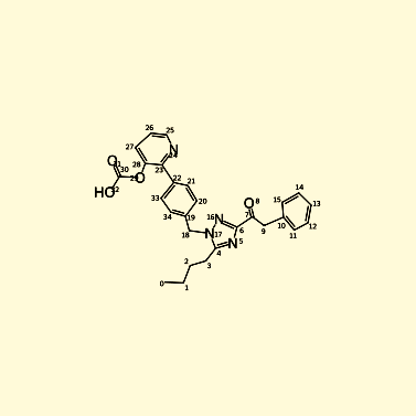 CCCCc1nc(C(=O)Cc2ccccc2)nn1Cc1ccc(-c2ncccc2OC(=O)O)cc1